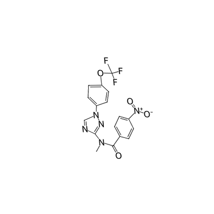 CN(C(=O)c1ccc([N+](=O)[O-])cc1)c1ncn(-c2ccc(OC(F)(F)F)cc2)n1